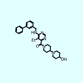 CCc1c(NCc2cccc(-c3ccccc3)c2)ncnc1C(=O)N1CCC(N2CCC(O)CC2)CC1